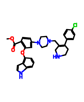 COC(=O)c1ccc(N2CCN(CC3=C(c4ccc(Cl)cc4)CCNC3)CC2)cc1Oc1cccc2[nH]ccc12